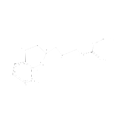 CC(C)(C)OC(=O)NCCCC1CCc2cccnc2N1